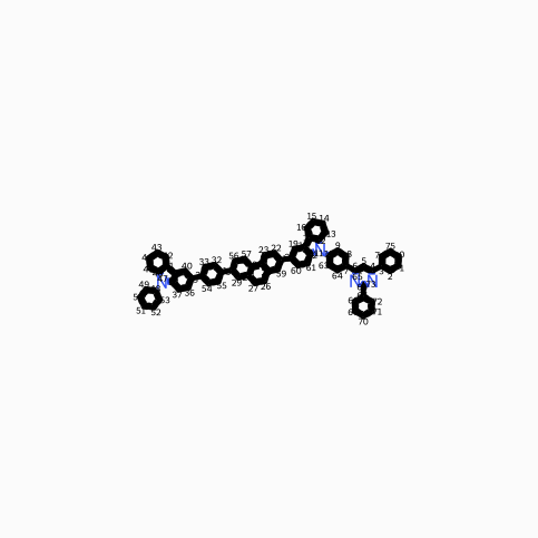 c1ccc(-c2cc(-c3ccc(-n4c5ccccc5c5cc(-c6ccc7c(ccc8cc(-c9ccc(-c%10ccc%11c(c%10)c%10ccccc%10n%11-c%10ccccc%10)cc9)ccc87)c6)ccc54)cc3)nc(-c3ccccc3)n2)cc1